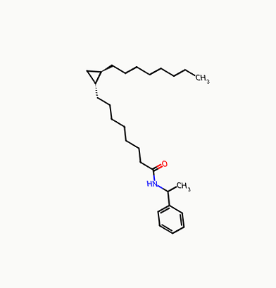 CCCCCCCC[C@@H]1C[C@H]1CCCCCCCC(=O)NC(C)c1ccccc1